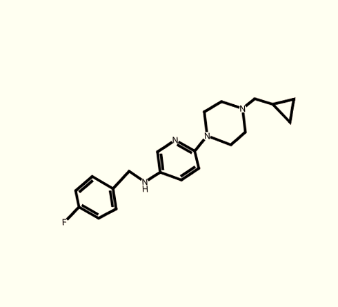 Fc1ccc(CNc2ccc(N3CCN(CC4CC4)CC3)nc2)cc1